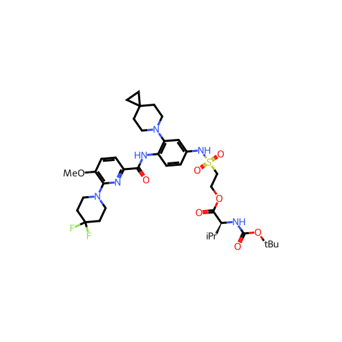 COc1ccc(C(=O)Nc2ccc(NS(=O)(=O)CCOC(=O)[C@@H](NC(=O)OC(C)(C)C)C(C)C)cc2N2CCC3(CC2)CC3)nc1N1CCC(F)(F)CC1